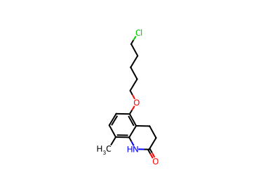 Cc1ccc(OCCCCCCl)c2c1NC(=O)CC2